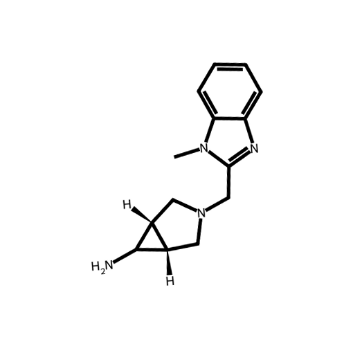 Cn1c(CN2C[C@@H]3C(N)[C@@H]3C2)nc2ccccc21